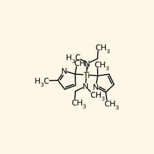 CC[N](C)[Ti]([N](C)CC)([C]1(C)C=CC(C)=N1)[C]1(C)C=CC(C)=N1